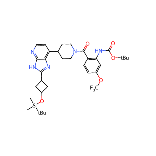 CC(C)(C)OC(=O)Nc1cc(OC(F)(F)F)ccc1C(=O)N1CCC(c2ccnc3[nH]c(C4CC(O[Si](C)(C)C(C)(C)C)C4)nc23)CC1